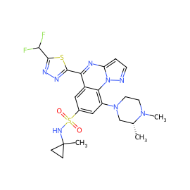 C[C@@H]1CN(c2cc(S(=O)(=O)NC3(C)CC3)cc3c(-c4nnc(C(F)F)s4)nc4ccnn4c23)CCN1C